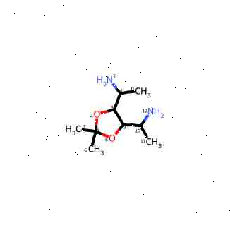 CC(N)C1OC(C)(C)OC1C(C)N